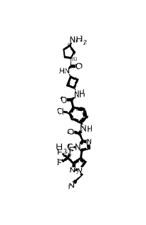 Cn1c(-c2cn(CC#N)nc2C(F)(F)F)cnc1C(=O)Nc1ccc(C(=O)N[C@H]2C[C@@H](NC(=O)[C@H]3CC[C@@H](N)C3)C2)c(Cl)c1